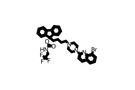 O=C(NCC(F)(F)F)OC1(CCCCN2CCN(c3ccc4cccc(Br)c4n3)CC2)c2ccccc2-c2ccccc21